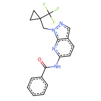 O=C(Nc1ccc2cnn(CC3(C(F)(F)F)CC3)c2n1)c1ccccc1